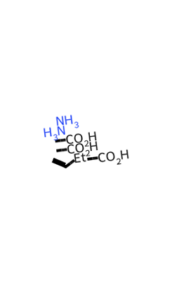 C=CCC.CC(=O)O.CC(=O)O.CC(=O)O.N.N